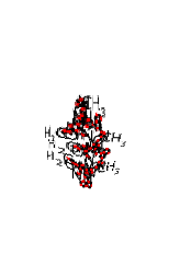 C=CC(=O)N1CCN(c2nc(OC[C@@H]3CC(c4cc(N5CCc6c(nc(OC[C@@H]7CC(c8cc(N9CCc%10c(nc(OC[C@H]%11CCCN%11C)nc%10N%10CCN(C(=O)C=C)[C@@H](CC#N)C%10)C9)c9ccccc9c8)CN7C)nc6N6CCN(C(=O)C=C)[C@@H](CC#N)C6)C5)c5ccccc5c4)CN3C)nc3c2CCN(c2cccc4ccccc24)C3)C(CC#N)C1